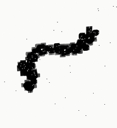 Nc1ncnc2c1c(-c1ccc(Oc3ccccc3)cc1)nn2C1CCN(CC2CCN(C=CC(=O)CN3CCN(c4ccc5c(c4)CN(C4CCC(=O)NC4=O)C5=O)CC3)CC2)CC1